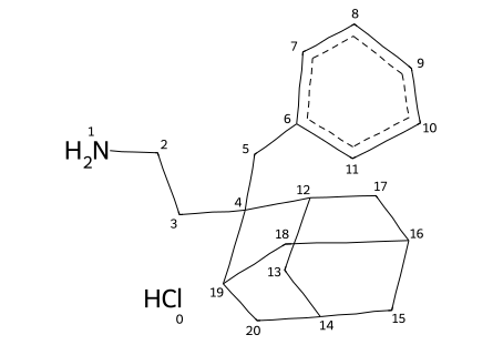 Cl.NCCC1(Cc2ccccc2)C2CC3CC(C2)CC1C3